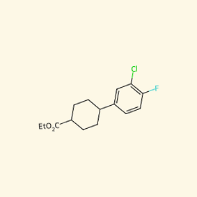 CCOC(=O)C1CCC(c2ccc(F)c(Cl)c2)CC1